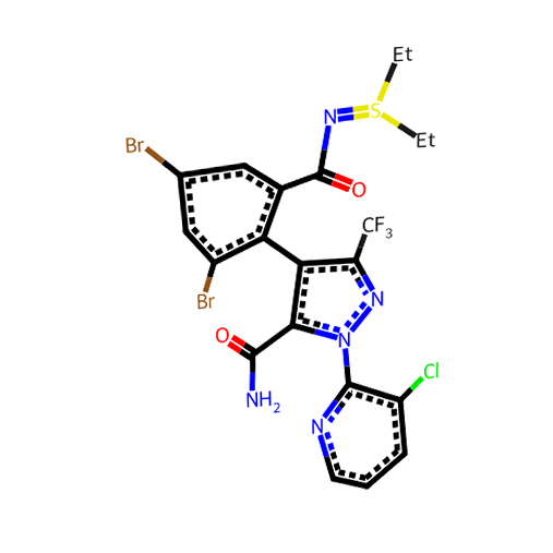 CCS(CC)=NC(=O)c1cc(Br)cc(Br)c1-c1c(C(F)(F)F)nn(-c2ncccc2Cl)c1C(N)=O